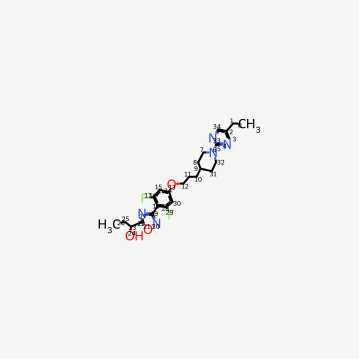 CCc1cnc(N2CCC(CCCOc3cc(F)c(-c4noc(C(O)CC)n4)c(F)c3)CC2)nc1